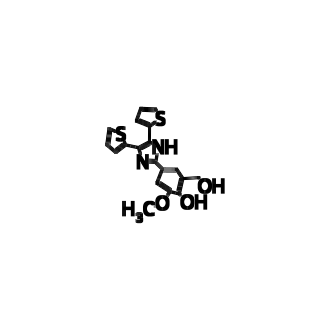 COc1cc(-c2nc(-c3cccs3)c(-c3cccs3)[nH]2)cc(CO)c1O